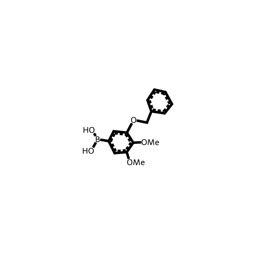 COc1cc(B(O)O)cc(OCc2ccccc2)c1OC